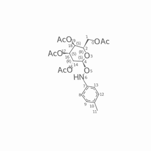 CC(=O)OC[C@H]1O[C@@H](ONc2ccc(C)cc2)[C@H](OC(C)=O)[C@@H](OC(C)=O)[C@H]1OC(C)=O